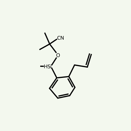 C=CCc1ccccc1[SiH](C)OC(C)(C)C#N